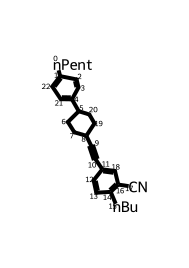 CCCCCc1ccc(C2CCC(C#Cc3ccc(CCCC)c(C#N)c3)CC2)cc1